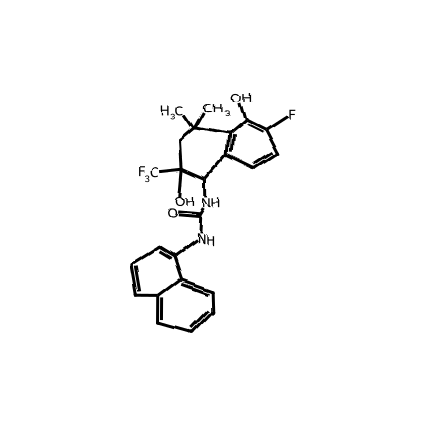 CC1(C)CC(O)(C(F)(F)F)C(NC(=O)Nc2cccc3ccccc23)c2ccc(F)c(O)c21